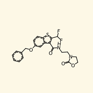 O=C(NCCN1CCOC1=O)c1c(C(F)F)sc2ccc(OCc3ccccc3)cc12